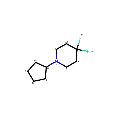 FC1(F)CCN(C2CCCC2)CC1